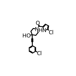 O=C(c1ccc(Cl)[nH]1)N1CCC(O)(C#Cc2cccc(Cl)c2)CC1